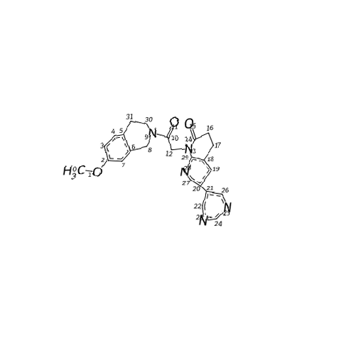 COc1ccc2c(c1)CN(C(=O)CN1C(=O)CCc3cc(-c4cncnc4)cnc31)CC2